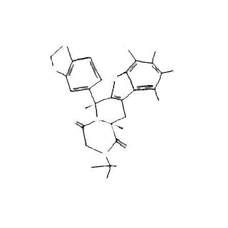 [2H]c1c([2H])c([2H])c2c3c([nH]c2c1[2H])[C@@]([2H])(c1ccc2c(c1)OCO2)N1C(=O)CN(C([2H])([2H])[2H])C(=O)[C@@]1([2H])C3